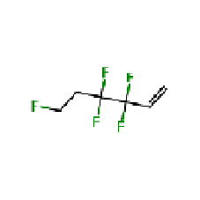 C=CC(F)(F)C(F)(F)CCF